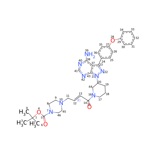 CC(C)(C)OC(=O)N1CCN(C/C=C/C(=O)N2CCCC(n3nc(-c4ccc(Oc5ccccc5)cc4)c4c(N)ncnc43)C2)CC1